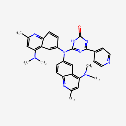 Cc1cc(N(C)C)c2cc(N(c3ccc4nc(C)cc(N(C)C)c4c3)c3nc(-c4ccncc4)nc(=O)[nH]3)ccc2n1